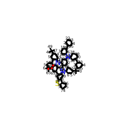 CC(C)(C)c1ccc(N2B3c4ccc(N(c5cccc(-c6ccccc6)c5)c5cccc(-c6ccccc6)c5)cc4N(c4ccc(C(C)(C)C)cc4-c4ccccc4)c4cc(C(C)(C)C)cc(c43)-c3cc4sc5ccccc5c4cc32)cc1